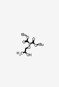 [CH2]C(O)CON(C(=O)OC(C)(C)C)C(=O)OC(C)(C)C